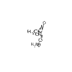 CC1CN(C2CCC2)CCN1C(=O)[C@H]1C[C@@H]1c1ccc(C(N)=O)cc1